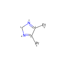 CCC1=NCN=C1C(C)C